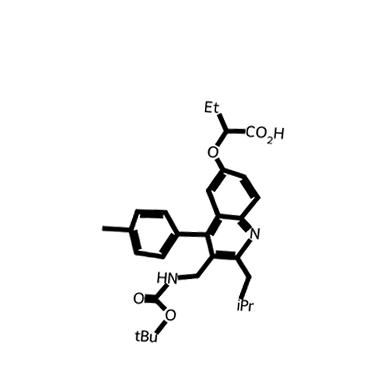 CCC(Oc1ccc2nc(CC(C)C)c(CNC(=O)OC(C)(C)C)c(-c3ccc(C)cc3)c2c1)C(=O)O